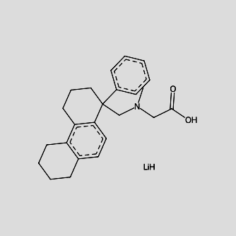 CN(CC(=O)O)CC1(c2ccccc2)CCCc2c1ccc1c2CCCC1.[LiH]